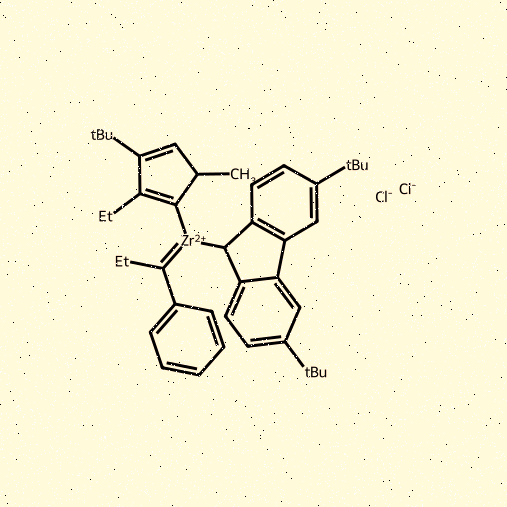 CCC1=[C](/[Zr+2](=[C](\CC)c2ccccc2)[CH]2c3ccc(C(C)(C)C)cc3-c3cc(C(C)(C)C)ccc32)C(C)C=C1C(C)(C)C.[Cl-].[Cl-]